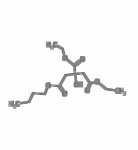 CCCCOC(=O)CC(O)(CC(=O)OCC)C(=O)OCC